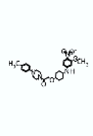 COc1cc(N[C@H]2CC[C@H](OCC(=O)N3CCN(c4ccc(C)cc4)CC3)CC2)ccc1[N+](=O)[O-]